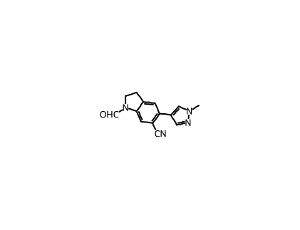 Cn1cc(-c2cc3c(cc2C#N)N(C=O)CC3)cn1